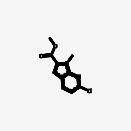 COC(=O)c1cc2ccc(Cl)nc2n1C